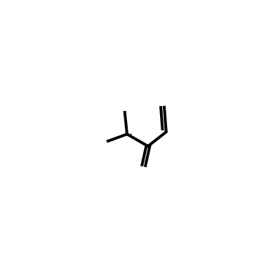 C=CC(=C)[C](C)C